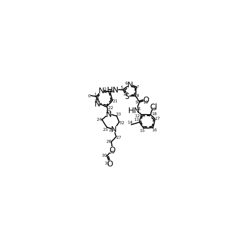 Cc1nc(Nc2ncc(C(=O)Nc3c(C)cccc3Cl)s2)cc(N2CCN(CCOC=O)CC2)n1